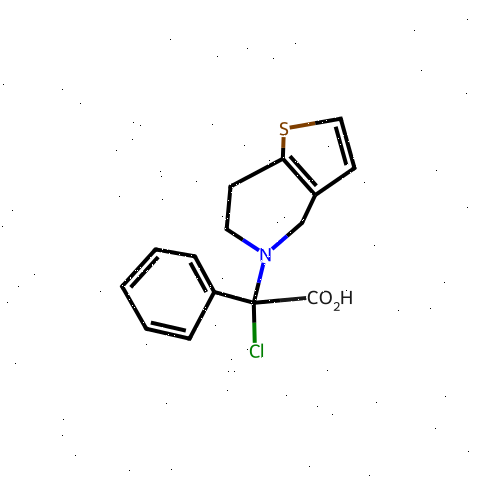 O=C(O)C(Cl)(c1ccccc1)N1CCc2sccc2C1